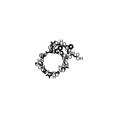 C=C1NC(=O)C(C(C)CC)NC(=O)C2CSCC(NC(=O)CCC(=O)O)C(=O)NC(Cc3ccccc3)C(=O)NC(C)C(=O)NC(CC(C)CC)C(=O)NC(C(=O)NC(Cc3ccccc3)C(=O)N3CCCC3C(=O)N2)C(C)OC(=O)C(CO)NC(=O)C(C(O)COC)N(C)C(=O)C(C(C)C)NC(=O)C(CC(C)CC)NC1=O